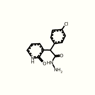 NNC(=O)C(c1ccc(Cl)cc1)c1ccc[nH]c1=O